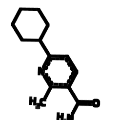 Cc1nc(C2CCCCC2)ccc1C(N)=O